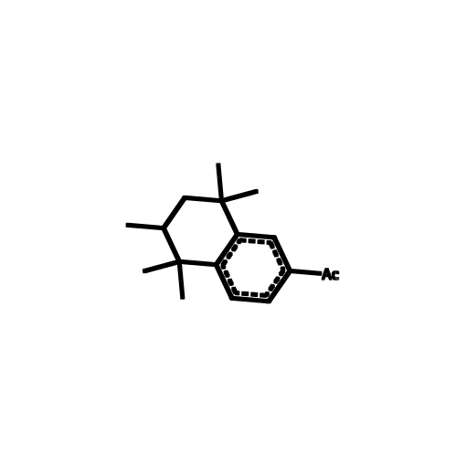 CC(=O)c1ccc2c(c1)C(C)(C)CC(C)C2(C)C